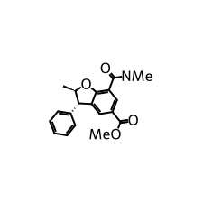 CNC(=O)c1cc(C(=O)OC)cc2c1O[C@H](C)[C@H]2c1ccccc1